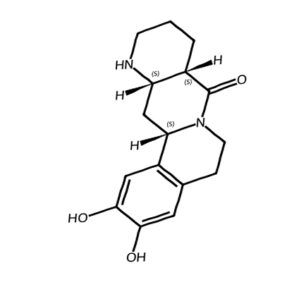 O=C1[C@H]2CCCN[C@H]2C[C@H]2c3cc(O)c(O)cc3CCN12